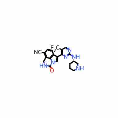 N#Cc1ccc2c(-c3nc(N[C@H]4CCCNC4)ncc3C(F)(F)F)cn3c2c1CNC3=O